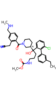 CCc1cccc(-c2c(Cl)cccc2C(O)(CCCNC(=O)OC)[C@@H]2CCCN(C(=O)c3ccc(CNC)cc3CC#N)C2)c1